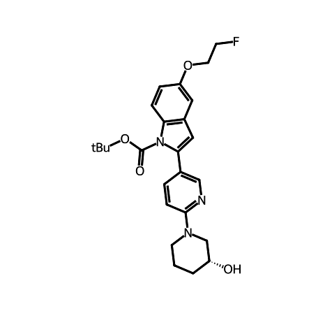 CC(C)(C)OC(=O)n1c(-c2ccc(N3CCC[C@@H](O)C3)nc2)cc2cc(OCCF)ccc21